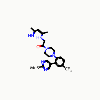 CSc1ncc(-c2cc(C(F)(F)F)ccc2N2CCN(C(=O)CN/C(C)=C\C(C)=N)CC2)cn1